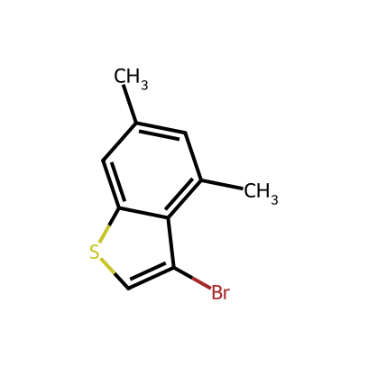 Cc1cc(C)c2c(Br)csc2c1